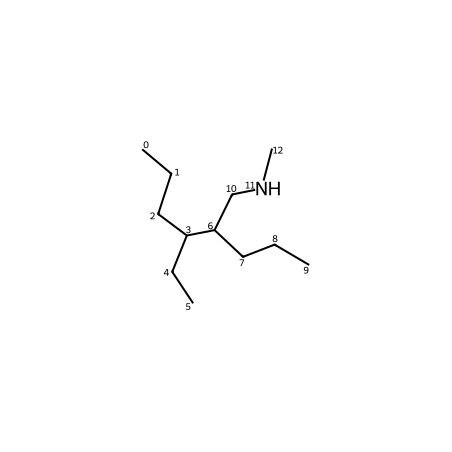 CCCC(CC)C(CCC)CNC